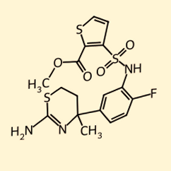 COC(=O)c1sccc1S(=O)(=O)Nc1cc(C2(C)CCSC(N)=N2)ccc1F